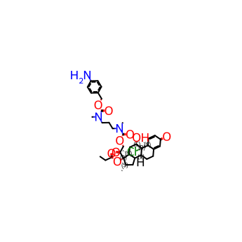 CCC(=O)O[C@]1(C(=O)COC(=O)N(C)CCCN(C)C(=O)OCc2ccc(N)cc2)[C@@H](C)CC2[C@@H]3CCC4=CC(=O)C=C[C@]4(C)[C@@]3(Cl)[C@@H](O)C[C@@]21C